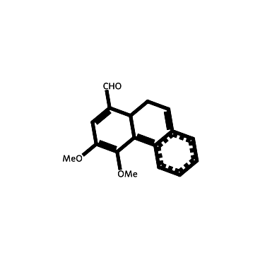 COC1=C(OC)C2=c3ccccc3=CCC2C(C=O)=C1